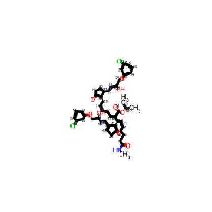 CNC(=O)CCC/C=C\C(C(CC/C=C\C[C@H]1C(=O)CC=C1/C=C/[C@@H](O)COc1cccc(Cl)c1)C(=O)OC(C)C)[C@H]1C(=O)CC=C1/C=C/[C@@H](O)COc1cccc(Cl)c1